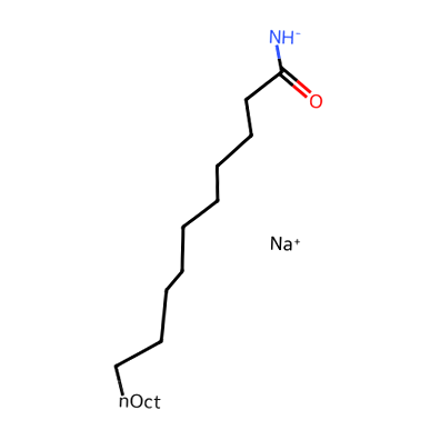 CCCCCCCCCCCCCCCCCC([NH-])=O.[Na+]